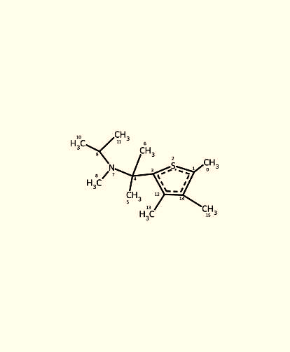 Cc1sc(C(C)(C)N(C)C(C)C)c(C)c1C